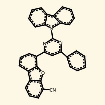 N#Cc1cccc2c1oc1c(-c3cc(-c4ccccc4)nc(-n4c5ccccc5c5ccccc54)n3)cccc12